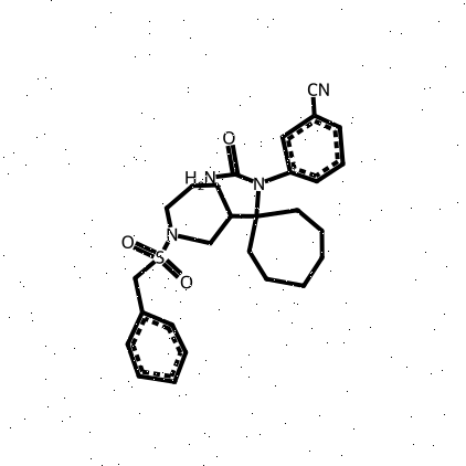 N#Cc1cccc(N(C(N)=O)C2(C3CCCN(S(=O)(=O)Cc4ccccc4)C3)CCCCCC2)c1